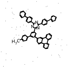 Cc1ccc(-c2cc(-c3ccc4c5ccccc5c5ccccc5c4c3)cc(-c3nc(-c4ccc(-c5ccccc5)cc4)nc(-c4ccc(-c5ccccc5)cc4)n3)c2)cc1